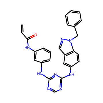 C=CC(=O)Nc1cccc(Nc2ncnc(Nc3ccc4c(cnn4Cc4ccccc4)c3)n2)c1